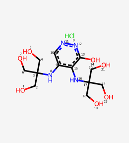 Cl.OCC(CO)(CO)Nc1cnnc(O)c1NC(CO)(CO)CO